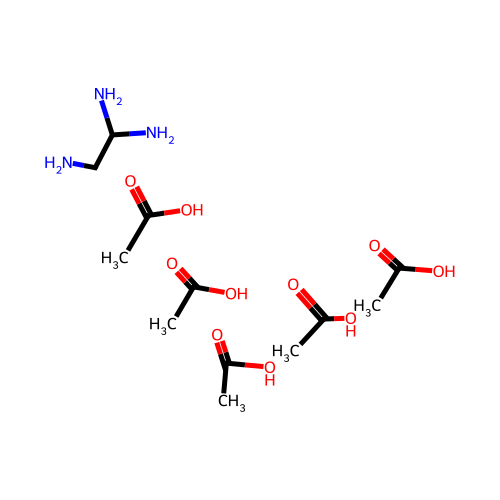 CC(=O)O.CC(=O)O.CC(=O)O.CC(=O)O.CC(=O)O.NCC(N)N